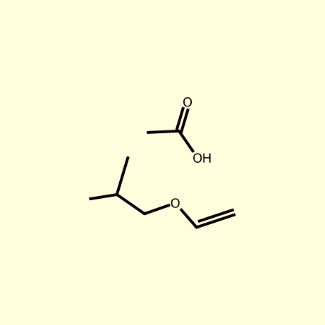 C=COCC(C)C.CC(=O)O